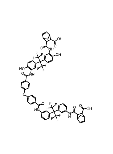 O=C(Nc1cccc(C(c2cccc(NC(=O)C3C4C=CC(C4)C3C(=O)O)c2)(C(F)(F)F)C(F)(F)F)c1)c1ccc(Oc2ccc(C(=O)Nc3cc(C(c4ccc(O)c(NC(=O)C5C6C=CC(C6)C5C(=O)O)c4)(C(F)(F)F)C(F)(F)F)ccc3O)cc2)cc1